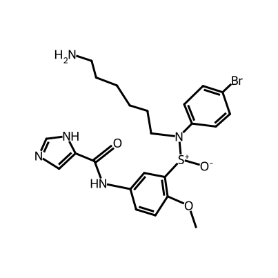 COc1ccc(NC(=O)c2cnc[nH]2)cc1[S+]([O-])N(CCCCCCN)c1ccc(Br)cc1